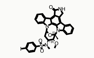 CO[C@@H]1[C@H](N(C)S(=O)(=O)c2ccc(I)cc2)CC2O[C@]1(C)n1c3ccccc3c3c4c(c5c6ccccc6n2c5c31)C(=O)NC4